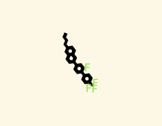 C=CCCc1ccc2cc(-c3ccc(-c4ccc(C(F)(F)F)cc4)c(F)c3)ccc2c1